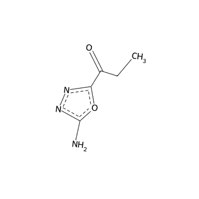 CCC(=O)c1nnc(N)o1